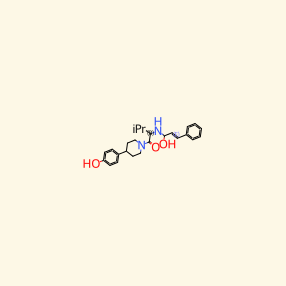 CC(C)[C@@H](NC(O)/C=C/c1ccccc1)C(=O)N1CCC(c2ccc(O)cc2)CC1